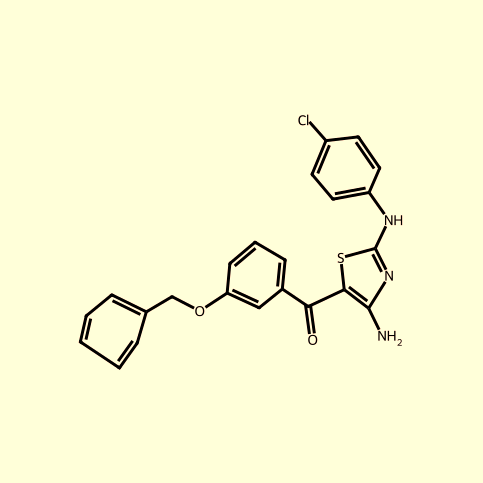 Nc1nc(Nc2ccc(Cl)cc2)sc1C(=O)c1cccc(OCc2ccccc2)c1